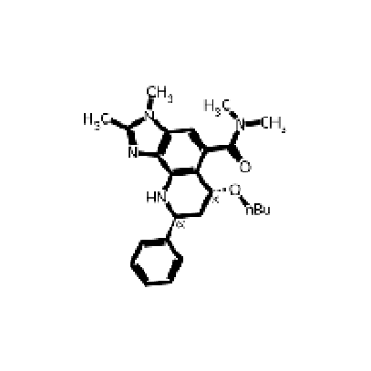 CCCCO[C@@H]1C[C@@H](c2ccccc2)Nc2c1c(C(=O)N(C)C)cc1c2nc(C)n1C